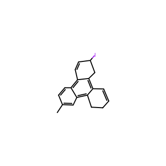 Cc1ccc2c3c(c4c(c2c1)CCC=C4)CC(I)C=C3